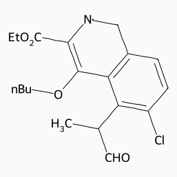 CCCCOC1=C(C(=O)OCC)[N]Cc2ccc(Cl)c(C(C)C=O)c21